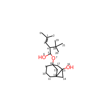 CC(C)=CC(C(O)OC12CCCC3(C1)CC3(O)C2)C(C)(C)C